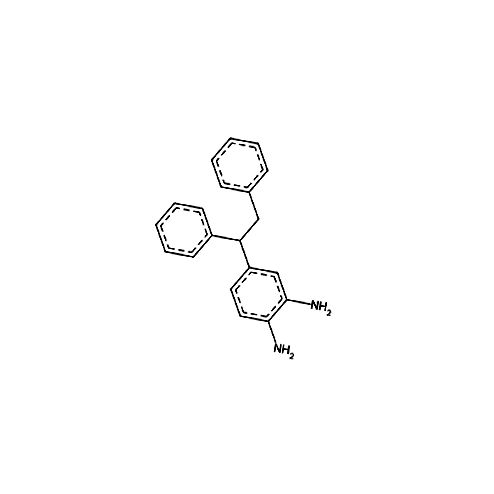 Nc1ccc(C(Cc2ccccc2)c2ccccc2)cc1N